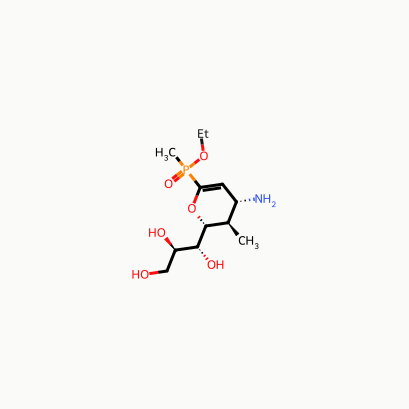 CCOP(C)(=O)C1=C[C@H](N)[C@@H](C)[C@H]([C@H](O)[C@H](O)CO)O1